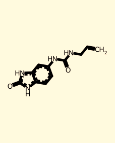 C=CCNC(=O)Nc1ccc2[nH]c(=O)[nH]c2c1